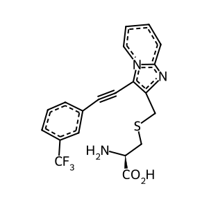 N[C@@H](CSCc1nc2ccccn2c1C#Cc1cccc(C(F)(F)F)c1)C(=O)O